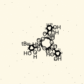 CC(C)(C)c1cc(O)c(O)c(C(=O)N[C@H]2COC(=O)[C@@H](NC(=O)c3cccc(O)c3O)COC(=O)[C@@H](NC(=O)c3cccc(O)c3O)COC2=O)c1